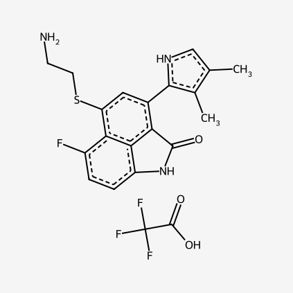 Cc1c[nH]c(-c2cc(SCCN)c3c(F)ccc4c3c2C(=O)N4)c1C.O=C(O)C(F)(F)F